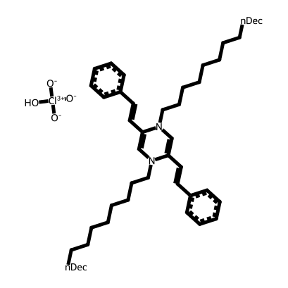 CCCCCCCCCCCCCCCCCCN1C=C(C=Cc2ccccc2)N(CCCCCCCCCCCCCCCCCC)C=C1C=Cc1ccccc1.[O-][Cl+3]([O-])([O-])O